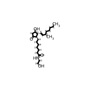 CCCCC[C@H](C)/C=C/[C@H]1[C@H](O)CC(=O)[C@@H]1CCCCCCC(=O)NCCO